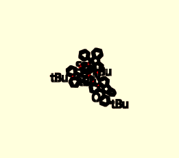 CC(C)(C)c1ccc2c(c1)C1(c3cc(C(C)(C)C)ccc3O2)c2ccccc2-c2ccc(N(c3ccc4c(c3)C(c3ccccc3)(c3ccccc3)c3ccccc3-4)c3ccc4c(c3)C3(c5cc(C(C)(C)C)ccc5Sc5ccc(C(C)(C)C)cc53)c3ccccc3-4)cc21